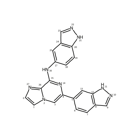 c1cn2cc(-c3ccc4cn[nH]c4c3)nc(Nc3ccc4[nH]ncc4c3)c2n1